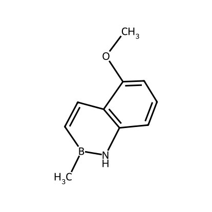 COc1cccc2c1C=CB(C)N2